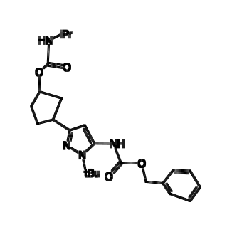 CC(C)NC(=O)OC1CCC(c2cc(NC(=O)OCc3ccccc3)n(C(C)(C)C)n2)C1